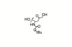 CC(C)(C)OC(=O)NC(CC(=O)CO)C(=O)O